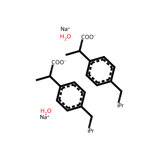 CC(C)Cc1ccc(C(C)C(=O)[O-])cc1.CC(C)Cc1ccc(C(C)C(=O)[O-])cc1.O.O.[Na+].[Na+]